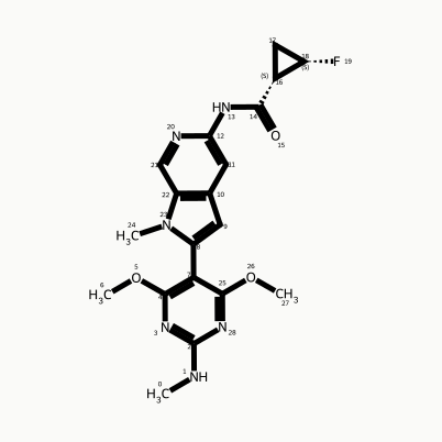 CNc1nc(OC)c(-c2cc3cc(NC(=O)[C@@H]4C[C@@H]4F)ncc3n2C)c(OC)n1